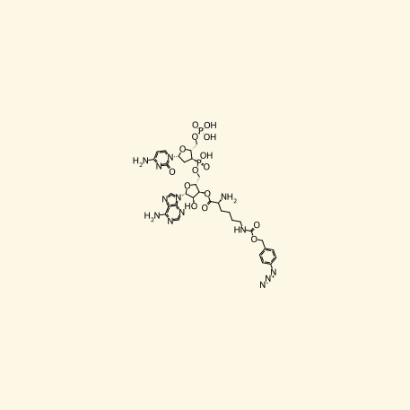 [N-]=[N+]=Nc1ccc(COC(=O)NCCCC[C@H](N)C(=O)O[C@H]2[C@@H](O)[C@H](n3cnc4c(N)ncnc43)O[C@@H]2COP(=O)(O)[C@H]2C[C@H](n3ccc(N)nc3=O)O[C@@H]2COP(=O)(O)O)cc1